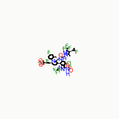 Cc1c([C@H]2CC2F)c(C(F)(F)F)nn1CC(=O)N[C@@H](Cc1cc(F)cc(F)c1)c1nc(C#CC(C)(C)S(C)(=O)=O)ccc1-c1ccc(Cl)c2c(NS(C)(=O)=O)nn(CC(F)(F)F)c12